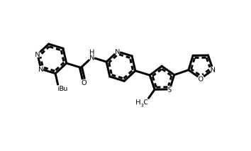 CCC(C)c1nnccc1C(=O)Nc1ccc(-c2cc(-c3ccno3)sc2C)cn1